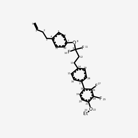 C=CCCc1ccc(OC(F)(F)CCc2ccc(-c3ccc(OCC)c(F)c3F)cc2)cc1